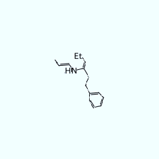 C/C=C/NC(=CCC)CCc1ccccc1